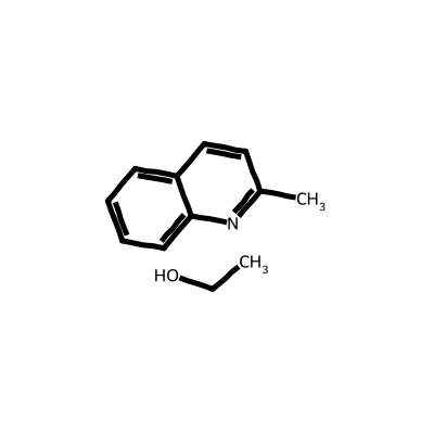 CCO.Cc1ccc2ccccc2n1